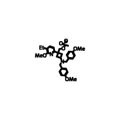 CCc1ccc(C2(COS(C)(=O)=O)CC(N(Cc3ccc(OC)cc3)Cc3ccc(OC)cc3)C2)nc1OC